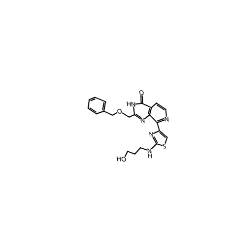 O=c1[nH]c(COCc2ccccc2)nc2c(-c3csc(NCCCO)n3)nccc12